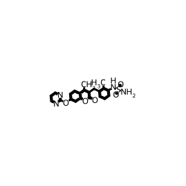 Cc1c(Cc2c(C)c3ccc(Oc4ncccn4)cc3oc2=O)cccc1NS(N)(=O)=O